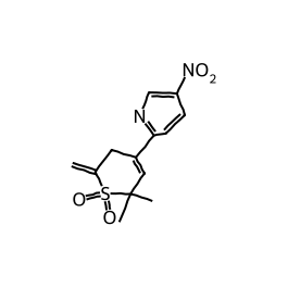 C=C1CC(c2ccc([N+](=O)[O-])cn2)=CC(C)(C)S1(=O)=O